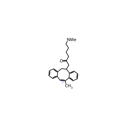 CNCCCCC(=O)CC1Cc2ccccc2/C=C(/C)c2ccccc21